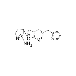 NC1N2CCC(CC2)[C@]12Cc1cc(Cc3cccs3)cnc1O2